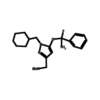 CNCc1cc(OC(F)(P)c2ccccc2)n(CC2CCCCC2)n1